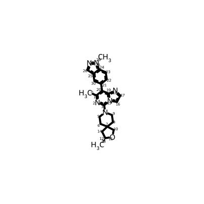 Cc1nc(N2CCC3(CC2)CO[C@@H](C)C3)n2ccnc2c1-c1ccc2c(cnn2C)c1